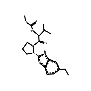 CCc1ccc2nc([C@@H]3CCCN3C(=O)[C@@H](NC(=O)OC)C(C)C)[nH]c2c1